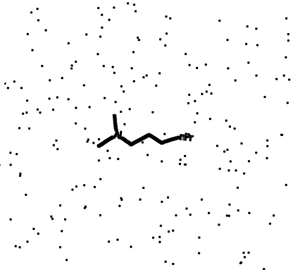 CCCCC[CH2][Al]([CH3])[CH3]